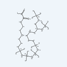 C=C(C)C(=O)OCCOCCC[Si](C)(C)O[Si](C)(C)O[Si](C)(C)O[Si](C)(C)CCCOCC(CO[Si](C)(C)C)O[Si](C)(C)C